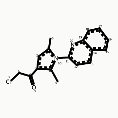 Cc1cc(C(=O)CCl)c(C)n1-c1ccc2ccccc2n1